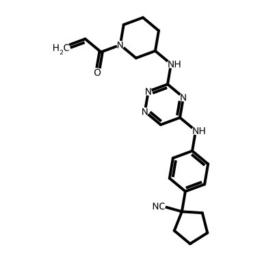 C=CC(=O)N1CCCC(Nc2nncc(Nc3ccc(C4(C#N)CCCC4)cc3)n2)C1